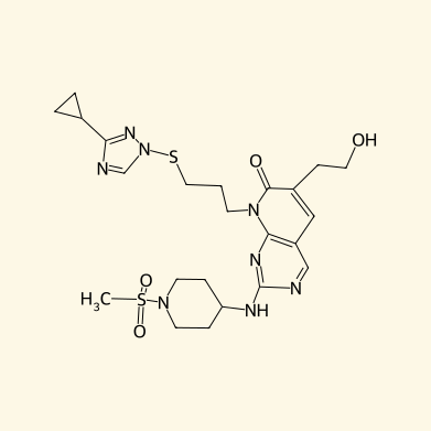 CS(=O)(=O)N1CCC(Nc2ncc3cc(CCO)c(=O)n(CCCSn4cnc(C5CC5)n4)c3n2)CC1